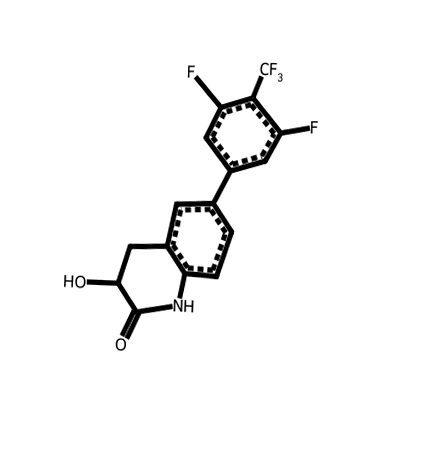 O=C1Nc2ccc(-c3cc(F)c(C(F)(F)F)c(F)c3)cc2CC1O